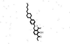 CCCCCC1CCC(c2ccc(CCc3ccc(C(=O)CC)c(O)c3C(F)F)cc2)CC1